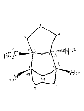 O=C(O)[C@@]12CCC[C@H]1[C@@H]1CC[C@H]2C1